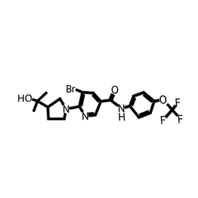 CC(C)(O)C1CCN(c2ncc(C(=O)Nc3ccc(OC(F)(F)F)cc3)cc2Br)C1